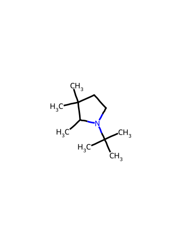 CC1N(C(C)(C)C)CCC1(C)C